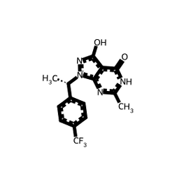 Cc1nc2c(c(O)nn2[C@@H](C)c2ccc(C(F)(F)F)cc2)c(=O)[nH]1